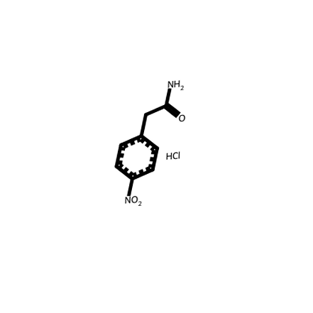 Cl.NC(=O)Cc1ccc([N+](=O)[O-])cc1